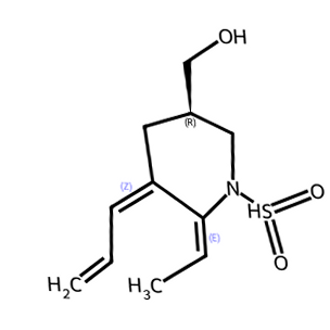 C=C/C=C1/C[C@@H](CO)CN([SH](=O)=O)/C1=C/C